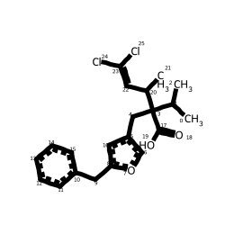 CC(C)C(Cc1coc(Cc2ccccc2)c1)(C(=O)O)C(C)C=C(Cl)Cl